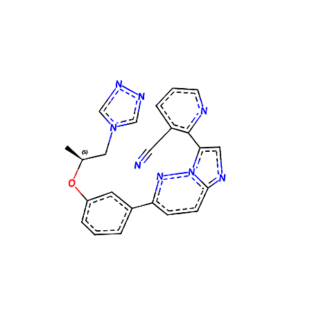 C[C@@H](Cn1cnnc1)Oc1cccc(-c2ccc3ncc(-c4ncccc4C#N)n3n2)c1